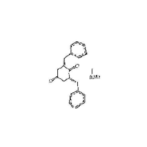 CNC.O=C1CC(=Cc2ccccc2)C(=O)C(=Cc2ccccc2)C1